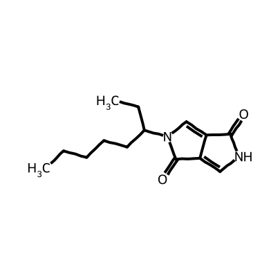 CCCCCC(CC)N1C=C2C(=O)NC=C2C1=O